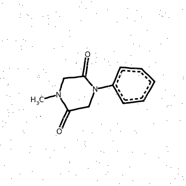 CN1CC(=O)N(c2ccccc2)CC1=O